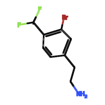 NCCc1ccc([C](F)F)c(Br)c1